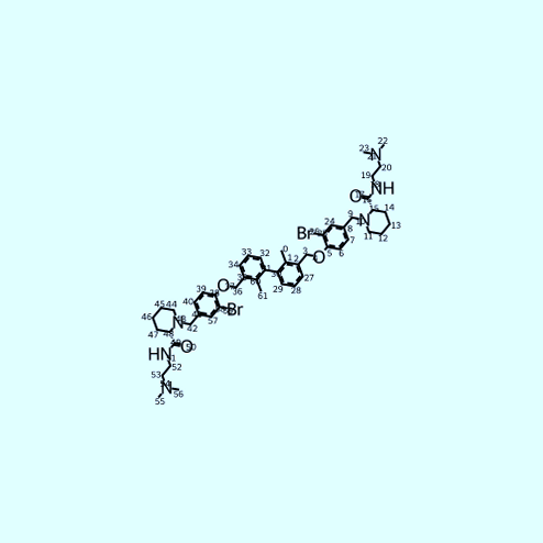 Cc1c(COc2ccc(CN3CCCC[C@H]3C(=O)NCCN(C)C)cc2Br)cccc1-c1cccc(COc2ccc(CN3CCCC[C@H]3C(=O)NCCN(C)C)cc2Br)c1C